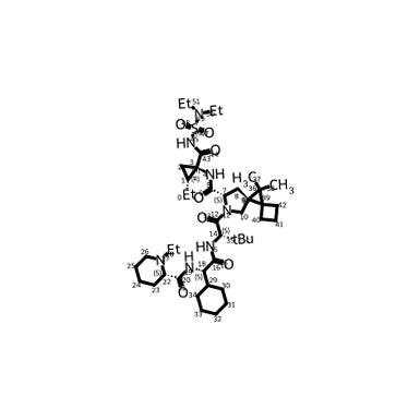 CC[C@@H]1C[C@]1(NC(=O)[C@@H]1C[C@@]2(CN1C(=O)[C@@H](NC(=O)[C@@H](NC(=O)[C@@H]1CCCCN1CC)C1CCCCC1)C(C)(C)C)C(C)(C)C21CCC1)C(=O)NS(=O)(=O)N(CC)CC